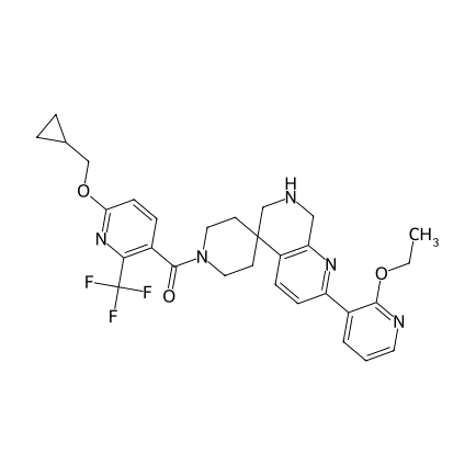 CCOc1ncccc1-c1ccc2c(n1)CNCC21CCN(C(=O)c2ccc(OCC3CC3)nc2C(F)(F)F)CC1